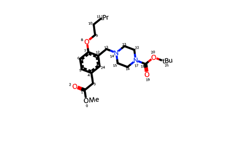 COC(=O)Cc1ccc(OCCC(C)C)c(CN2CCN(C(=O)OC(C)(C)C)CC2)c1